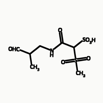 CC(C=O)CNC(=O)C(S(C)(=O)=O)S(=O)(=O)O